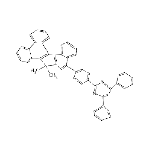 CC1(C)c2cc(-c3ccc(-c4nc(-c5ccccc5)cc(-c5ccccc5)n4)cc3)c3ccccc3c2-c2c1c1ccccc1c1ccccc21